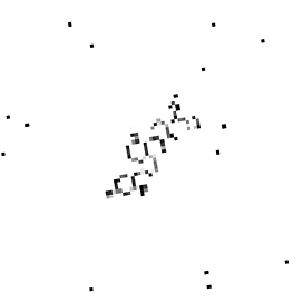 O=C(c1ccc(-c2c(=O)ccn3c(-c4ccc(F)cc4F)cccc23)c(F)c1)N1CCC1